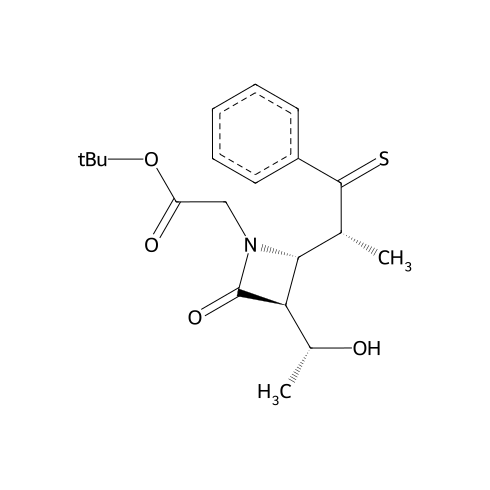 C[C@@H](O)[C@H]1C(=O)N(CC(=O)OC(C)(C)C)[C@@H]1[C@@H](C)C(=S)c1ccccc1